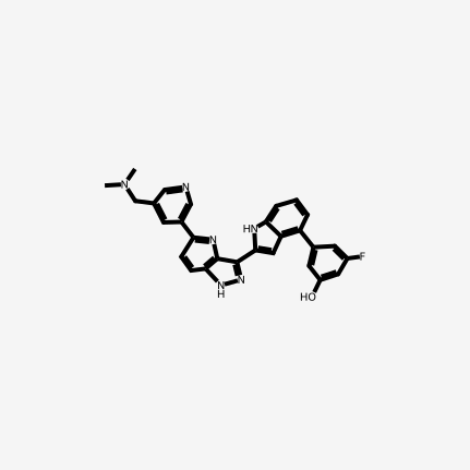 CN(C)Cc1cncc(-c2ccc3[nH]nc(-c4cc5c(-c6cc(O)cc(F)c6)cccc5[nH]4)c3n2)c1